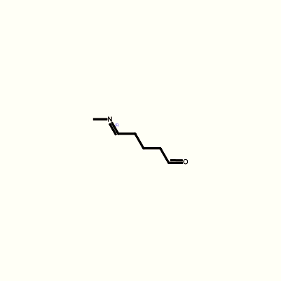 C/N=C/CCCC=O